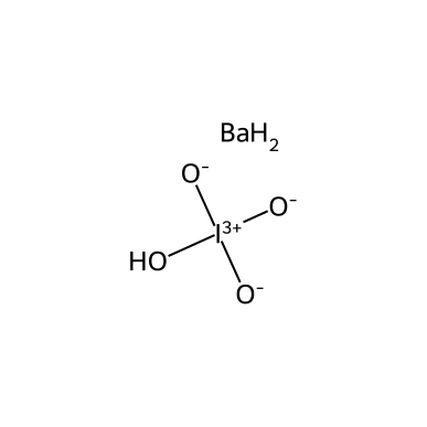 [BaH2].[O-][I+3]([O-])([O-])O